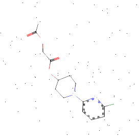 O=C(COC(=O)C(F)(F)F)OC1CCN(c2cccc(F)n2)CC1